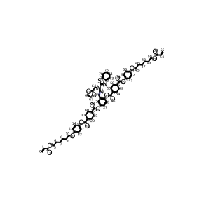 C=CC(=O)OCCCCCCOc1ccc(OC(=O)C2CCC(C(=O)Oc3ccc(OC(=O)C4CCC(C(=O)Oc5ccc(OCCCCCCOC(=O)C=C)cc5)CC4)c(/C=N/N(CC4OCCO4)c4nc5ccccc5s4)c3)CC2)cc1